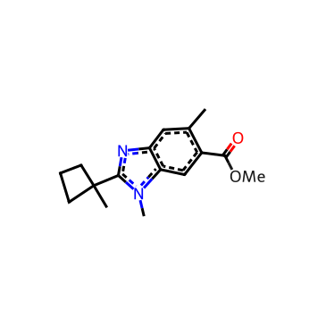 COC(=O)c1cc2c(cc1C)nc(C1(C)CCC1)n2C